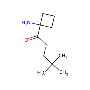 CC(C)(C)CSC(=O)C1(N)CCC1